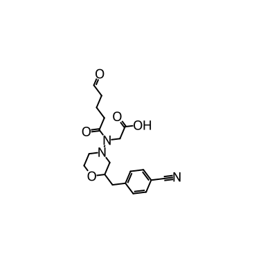 N#Cc1ccc(CC2CN(N(CC(=O)O)C(=O)CCCC=O)CCO2)cc1